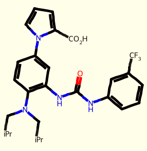 CC(C)CN(CC(C)C)c1ccc(-n2cccc2C(=O)O)cc1NC(=O)Nc1cccc(C(F)(F)F)c1